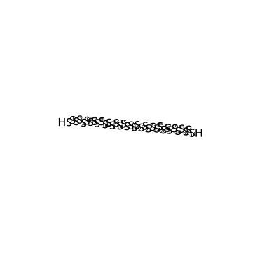 SSSSSSSSSSSSSSSSSSSSSSSSSSSSSSSSSSS